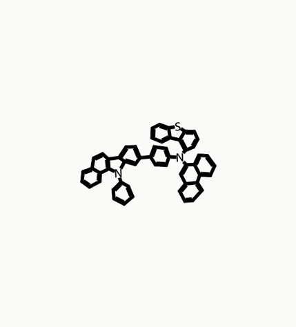 c1ccc(-n2c3cc(-c4ccc(N(c5cc6ccccc6c6ccccc56)c5cccc6sc7ccccc7c56)cc4)ccc3c3ccc4ccccc4c32)cc1